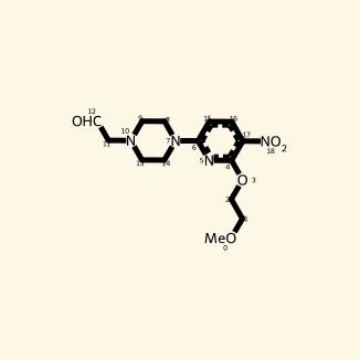 COCCOc1nc(N2CCN(CC=O)CC2)ccc1[N+](=O)[O-]